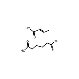 CC=CC(=O)O.O=C(O)CCCCC(=O)O